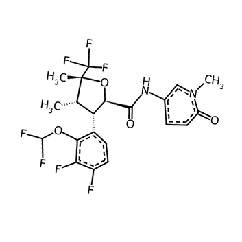 C[C@H]1[C@@H](c2ccc(F)c(F)c2OC(F)F)[C@H](C(=O)Nc2ccc(=O)n(C)c2)O[C@@]1(C)C(F)(F)F